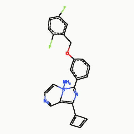 N[N+]12C=CN=CC1=C(C1=CC=C1)N=C2c1cccc(OCc2cc(F)ccc2F)c1